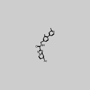 CC(=O)c1ccn2nc(C(=O)NCc3ccc(-c4ccnc(C)c4)c(C)c3)nc2c1